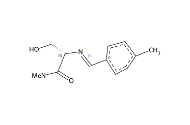 CNC(=O)[C@H](CO)/N=C/c1ccc(C)cc1